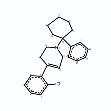 Clc1ccccc1C1=CCN(C2(c3ccccc3)CCCCC2)CC1